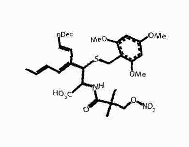 CC=CC=C(C=CCCCCCCCCCC)C(SCc1c(OC)cc(OC)cc1OC)C(NC(=O)C(C)(C)CO[N+](=O)[O-])C(=O)O